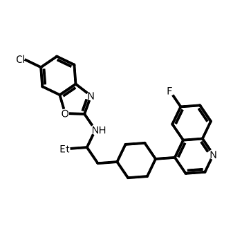 CCC(CC1CCC(c2ccnc3ccc(F)cc23)CC1)Nc1nc2ccc(Cl)cc2o1